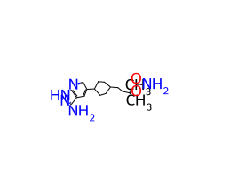 CC(C)(CCC1CCC(c2cnc3[nH]nc(N)c3c2)CC1)OC(N)=O